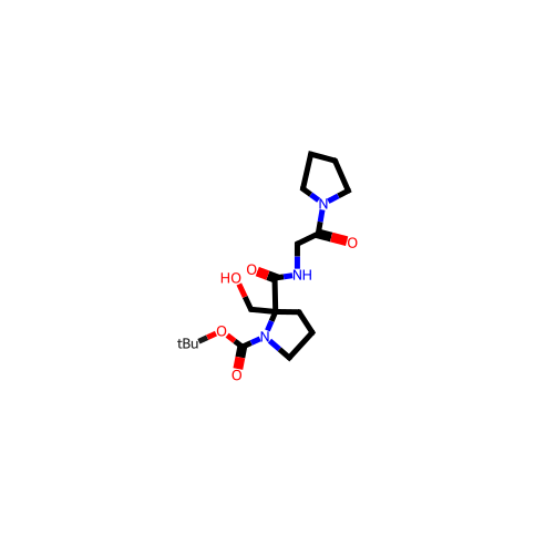 CC(C)(C)OC(=O)N1CCCC1(CO)C(=O)NCC(=O)N1CCCC1